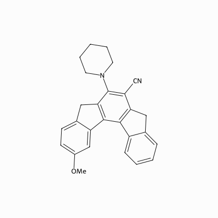 COc1ccc2c(c1)-c1c(c(N3CCCCC3)c(C#N)c3c1-c1ccccc1C3)C2